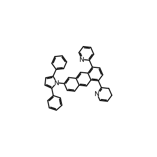 C1=CN=C(c2ccc(-c3ccccn3)c3cc4cc(-n5c(-c6ccccc6)ccc5-c5ccccc5)ccc4cc23)CC1